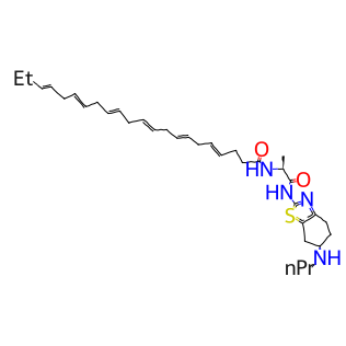 CCC=CCC=CCC=CCC=CCC=CCC=CCCC(=O)N[C@@H](C)C(=O)Nc1nc2c(s1)C[C@H](NCCC)CC2